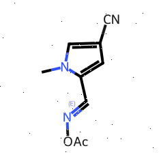 CC(=O)O/N=C/c1cc(C#N)cn1C